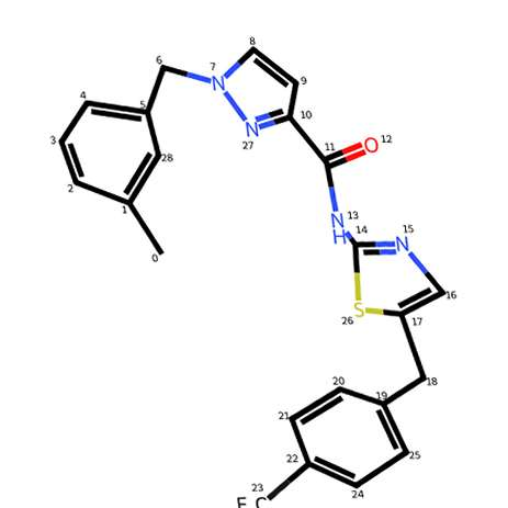 Cc1cccc(Cn2ccc(C(=O)Nc3ncc(Cc4ccc(C(F)(F)F)cc4)s3)n2)c1